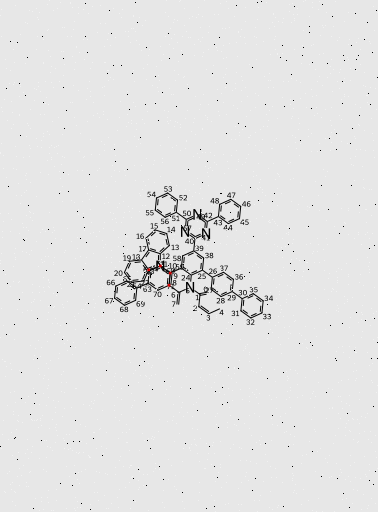 C=C(/C=C\C)N(C(=C)/C=C(\C)n1c2ccccc2c2ccccc21)c1c(-c2ccc(-c3ccccc3)cc2)cc(-c2nc(-c3ccccc3)nc(-c3ccccc3)n2)cc1-c1ccc(-c2ccccc2)cc1